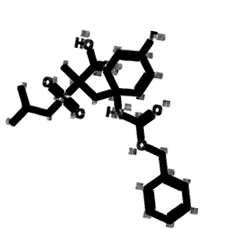 CC(C)CS(=O)(=O)C(C)(CC1(NC(=O)OCc2ccccc2)C=CC(F)=CC1)C(=O)O